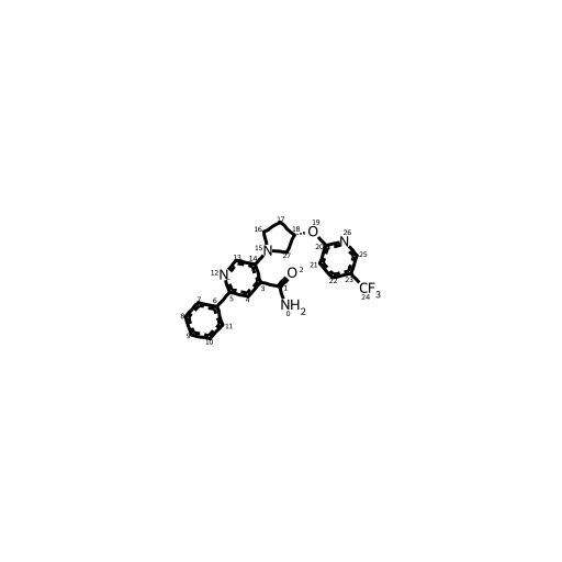 NC(=O)c1cc(-c2ccccc2)ncc1N1CC[C@H](Oc2ccc(C(F)(F)F)cn2)C1